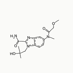 COCC(=O)N(C)c1ccc2c(c1)nc(C(N)=O)n2CC(C)(C)O